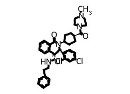 CN1CCN(C(=O)[C@H]2CC[C@@H](N3C(=O)c4ccccc4[C@@H](C(=O)NCCc4ccccc4)[C@@H]3c3ccc(Cl)cc3Cl)CC2)CC1